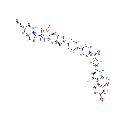 COc1cc2nn([C@H]3CC[C@H](N4CCN(C(=O)C5CN(c6cc(F)c([C@H]7CCC(=O)NC7=O)c(F)c6)C5)CC4)CC3)cc2cc1NC(=O)c1ccc2cc(C#N)cnn12